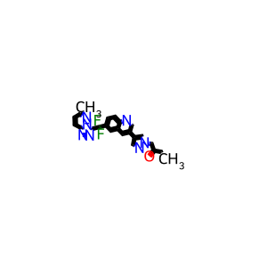 CCC(=O)Cn1cc(-c2cnc3ccc(C(F)(F)c4nnc5ccc(C)nn45)cc3c2)cn1